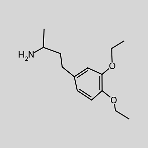 CCOc1ccc(CCC(C)N)cc1OCC